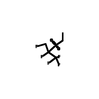 CCS(=O)(=O)C(F)(CF)C(F)(F)F